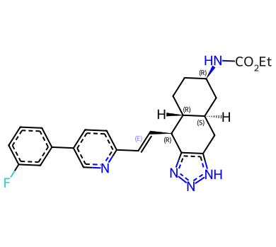 CCOC(=O)N[C@@H]1CC[C@@H]2[C@H](Cc3[nH]nnc3[C@H]2/C=C/c2ccc(-c3cccc(F)c3)cn2)C1